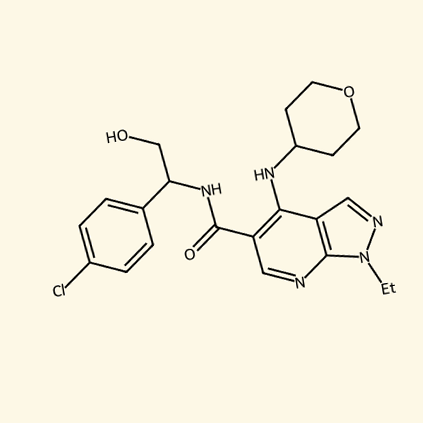 CCn1ncc2c(NC3CCOCC3)c(C(=O)NC(CO)c3ccc(Cl)cc3)cnc21